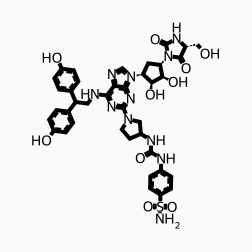 NS(=O)(=O)c1ccc(NC(=O)NC2CCN(c3nc(NCC(c4ccc(O)cc4)c4ccc(O)cc4)c4ncn([C@@H]5C[C@H](N6C(=O)N[C@H](CO)C6=O)[C@@H](O)[C@H]5O)c4n3)C2)cc1